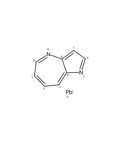 [Pb].c1ccc2nccc-2nc1